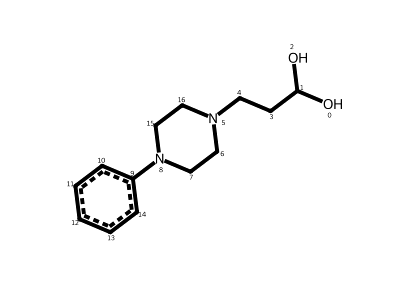 OC(O)CCN1CCN(c2ccccc2)CC1